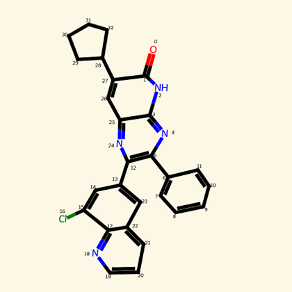 O=c1[nH]c2nc(-c3ccccc3)c(-c3cc(Cl)c4ncccc4c3)nc2cc1C1CCCC1